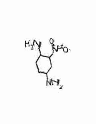 NC1CCC(N)C([N+](=O)[O-])C1